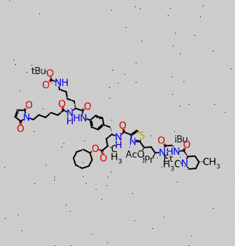 CC[C@H](C)[C@H](NC(=O)[C@H]1C[C@H](C)CCN1C)C(=O)N(CC)[C@H](C[C@@H](OC(C)=O)c1nc(C(=O)N[C@@H](Cc2ccc(NC(=O)[C@H](CCCCNC(=O)OC(C)(C)C)NC(=O)CCCCCN3C(=O)C=CC3=O)cc2)C[C@H](C)C(=O)OC2CCCCCCC2)cs1)C(C)C